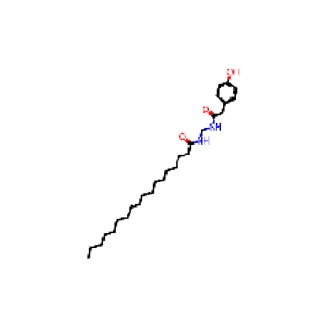 CCCCCCCCCCCCCCCCCC(=O)NCNC(=O)Cc1ccc(O)cc1